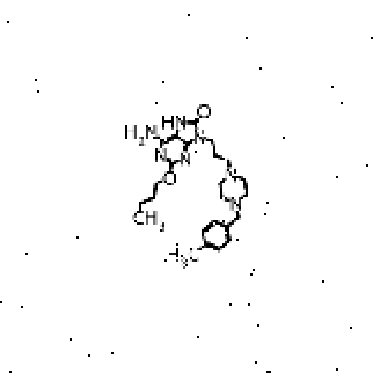 CCCCOc1nc(N)c2[nH]c(=O)n(CCCN3CCN(Cc4ccc(C)cc4)CC3)c2n1